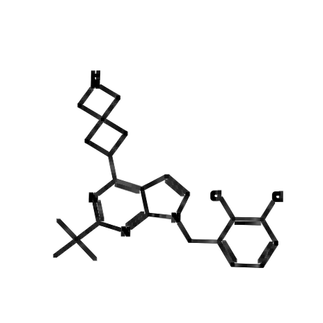 CC(C)(C)c1nc(C2CC3(CNC3)C2)c2ccn(Cc3cccc(Cl)c3Cl)c2n1